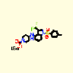 Cc1ccc(S(=O)(=O)n2cc(C(F)F)c3c(NC4CCN(C(=O)OC(C)(C)C)CC4)cccc32)cc1